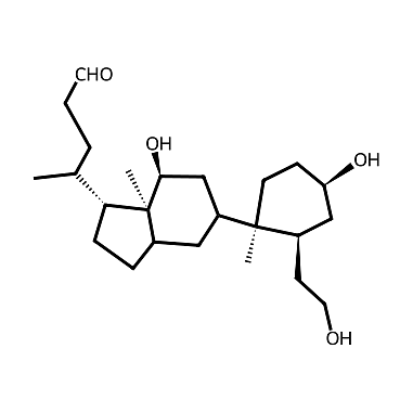 CC(CCC=O)[C@H]1CCC2CC([C@@]3(C)CC[C@@H](O)C[C@H]3CCO)C[C@H](O)[C@@]21C